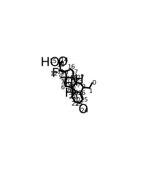 CCC1C[C@@H]2[C@H](CC[C@]3(C)C(=C(F)C(=O)O)CC[C@@H]23)[C@@]2(C)CCC(=O)C=C12